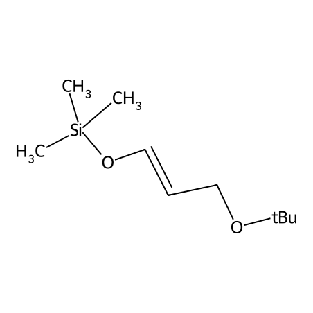 CC(C)(C)OCC=CO[Si](C)(C)C